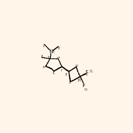 CN(C)C1(C)CCC(C2CC(F)(F)C2)C1